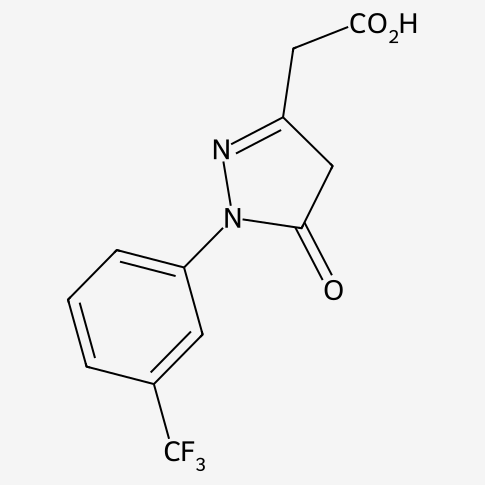 O=C(O)CC1=NN(c2cccc(C(F)(F)F)c2)C(=O)C1